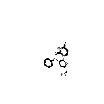 O=c1ccn([C@@H]2O[C@H](CO)C[C@H]2Sc2ccccc2)c(=O)[nH]1